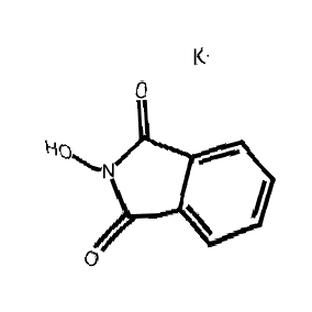 O=C1c2ccccc2C(=O)N1O.[K]